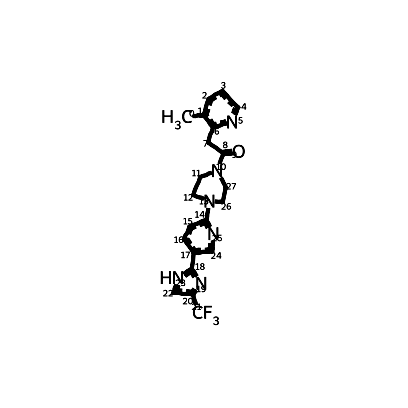 Cc1cccnc1CC(=O)N1CCN(c2ccc(-c3nc(C(F)(F)F)c[nH]3)cn2)CC1